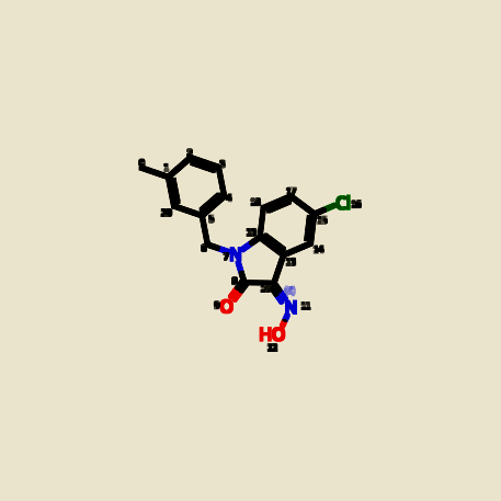 Cc1cccc(CN2C(=O)/C(=N\O)c3cc(Cl)ccc32)c1